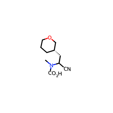 CN(C(=O)O)C(C#N)C[C@@H]1CCCOC1